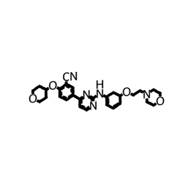 N#Cc1cc(-c2ccnc(NC3=CC=CC(OCCN4CCOCC4)C3)n2)ccc1OC1CCOCC1